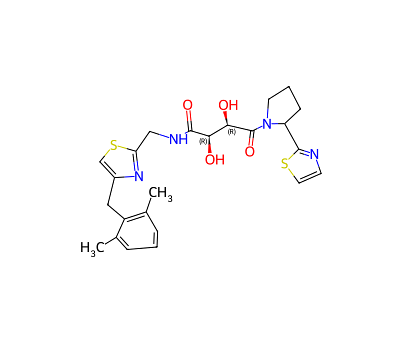 Cc1cccc(C)c1Cc1csc(CNC(=O)[C@H](O)[C@@H](O)C(=O)N2CCCC2c2nccs2)n1